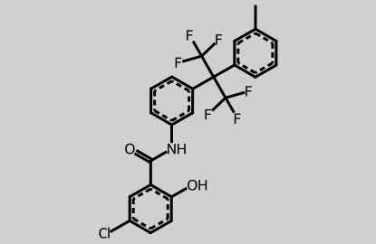 Cc1cccc(C(c2cccc(NC(=O)c3cc(Cl)ccc3O)c2)(C(F)(F)F)C(F)(F)F)c1